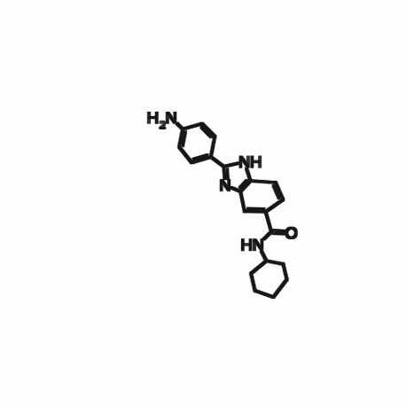 Nc1ccc(-c2nc3cc(C(=O)NC4CCCCC4)ccc3[nH]2)cc1